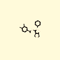 Cc1ccc(C(=O)Nc2c3c(nn2-c2ccccc2)CSC3)cc1C